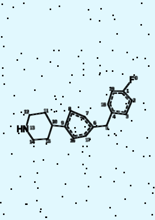 Fc1ccc(Cc2ccc(C3CCNCC3)cc2)cc1